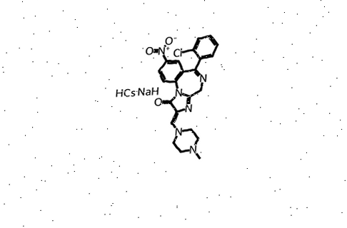 CN1CCN(/C=C2\N=C3CN=C(c4ccccc4Cl)c4cc([N+](=O)[O-])ccc4N3C2=O)CC1.[CsH].[NaH]